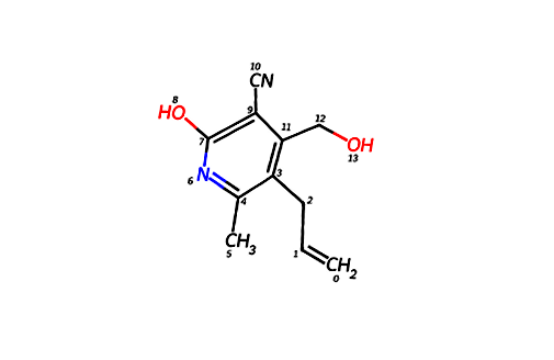 C=CCc1c(C)nc(O)c(C#N)c1CO